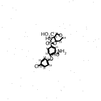 NO.O=C(O)[C@@]1(NS(=O)(=O)c2ccc(Oc3ccc(Cl)cc3)cc2)CCCOC1